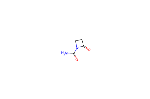 NC(=O)N1C[CH]C1=O